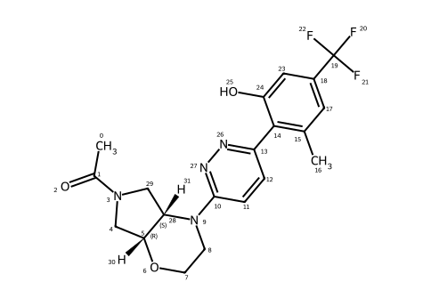 CC(=O)N1C[C@H]2OCCN(c3ccc(-c4c(C)cc(C(F)(F)F)cc4O)nn3)[C@H]2C1